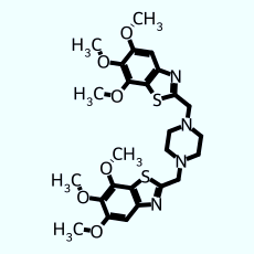 COc1cc2nc(CN3CCN(Cc4nc5cc(OC)c(OC)c(OC)c5s4)CC3)sc2c(OC)c1OC